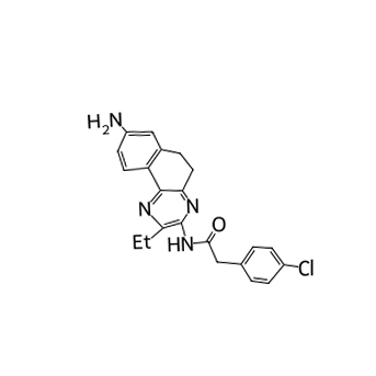 CCc1nc2c(nc1NC(=O)Cc1ccc(Cl)cc1)CCc1cc(N)ccc1-2